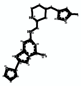 Cc1cc(CC2CCNC(CNc3nc(N)n4nc(-c5ccco5)nc4n3)C2)no1